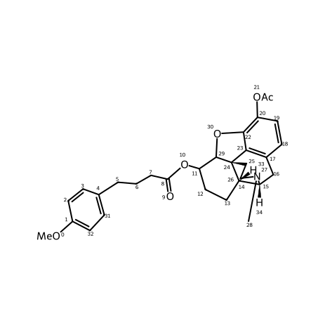 COc1ccc(CCCC(=O)OC2CC[C@H]3[C@H]4Cc5ccc(OC(C)=O)c6c5[C@@]3(CCN4C)C2O6)cc1